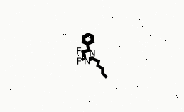 CCCCCc1nc(F)c(F)c(-c2ccccc2)n1